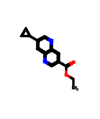 CCOC(=O)c1cnc2cc(C3CC3)cnc2c1